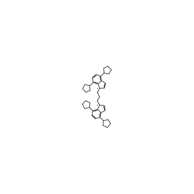 C1=Cc2c(C3CCCC3)ccc(C3CCCC3)c2[C]1CCC[C]1C=Cc2c(C3CCCC3)ccc(C3CCCC3)c21